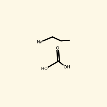 CC[CH2][Na].O=C(O)O